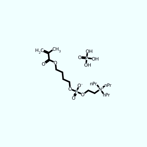 C=C(C)C(=O)OCCCCOP(=O)([O-])OCC[N+](CCC)(CCC)CCC.O=P(O)(O)O